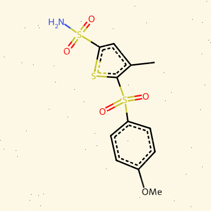 COc1ccc(S(=O)(=O)c2sc(S(N)(=O)=O)cc2C)cc1